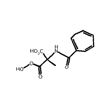 CC(NC(=O)c1ccccc1)(C(=O)O)C(=O)OO